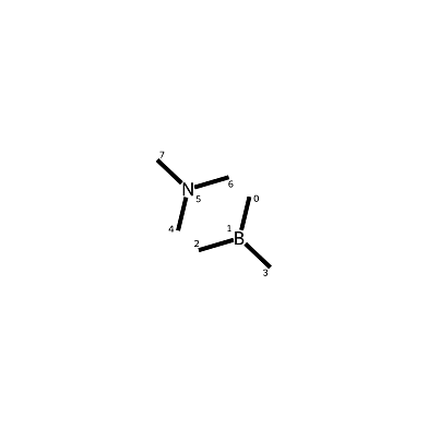 CB(C)C.CN(C)C